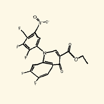 CCOC(=O)c1cn(-c2cc([N+](=O)[O-])c(F)c(F)c2F)c2cc(F)c(F)cc2c1=O